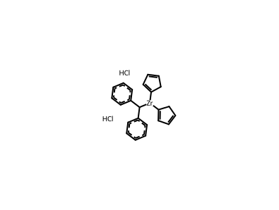 C1=CC[C]([Zr]([C]2=CC=CC2)[CH](c2ccccc2)c2ccccc2)=C1.Cl.Cl